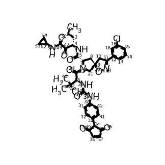 CCC[C@H](NC(=O)[C@@H]1C[C@]2(CC(c3cccc(Cl)c3)=NO2)CN1C(=O)[C@@H](NC(=O)Nc1ccc(C2C(=O)C=CC2=O)cc1)C(C)(C)C)C(=O)C(=O)NC1CC1